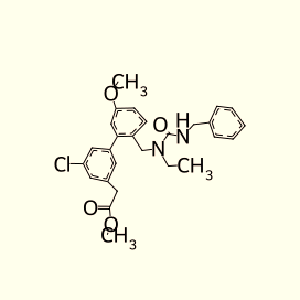 CCN(Cc1ccc(OC)cc1-c1cc(Cl)cc(CC(=O)OC)c1)C(=O)NCc1ccccc1